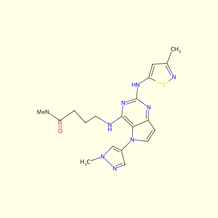 CNC(=O)CCCNc1nc(Nc2cc(C)ns2)nc2ccn(-c3cnn(C)c3)c12